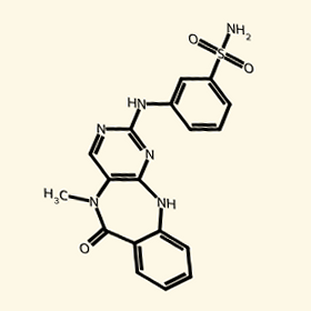 CN1C(=O)c2ccccc2Nc2nc(Nc3cccc(S(N)(=O)=O)c3)ncc21